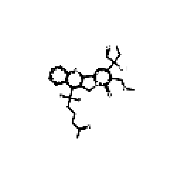 CCC(O)(C=O)c1cc2n(c(=O)c1COC)Cc1c-2nc2ccccc2c1C(F)(F)CCCC(C)=O